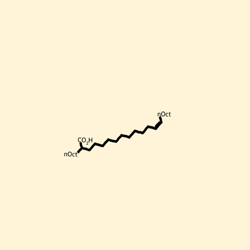 CCCCCCCC/C=C\CCCCCCCCCCC(CCCCCCCC)C(=O)O